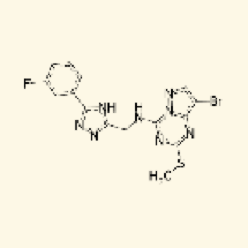 CSc1nc(NCc2nnc(-c3cccc(F)c3)[nH]2)n2ncc(Br)c2n1